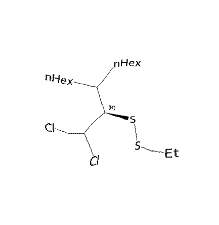 CCCCCCC(CCCCCC)[C@@H](SSCC)C(Cl)Cl